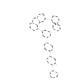 c1ccc(-c2ccc(-c3ccc(-c4cc(-c5ccccc5)cc(-c5cccc6oc7ccc(-c8ccccc8)cc7c56)c4)cc3)cc2)cc1